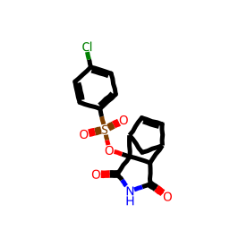 O=C1NC(=O)C2(OS(=O)(=O)c3ccc(Cl)cc3)C3C=CC(C3)C12